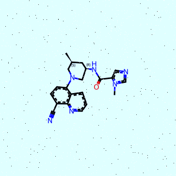 C[C@H]1C[C@@H](NC(=O)c2cncn2C)CN(c2ccc(C#N)c3ncccc23)C1